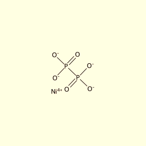 O=P([O-])([O-])P(=O)([O-])[O-].[Ni+4]